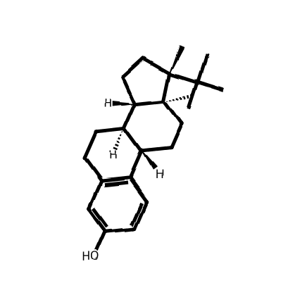 CC(C)(C)[C@@]1(C)CC[C@H]2[C@@H]3CCc4cc(O)ccc4[C@H]3CC[C@@]21C